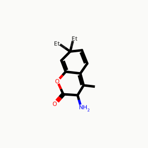 CCC1(CC)C=CC2=C(C)C(N)C(=O)OC2=C1